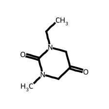 CCN1CC(=O)CN(C)C1=O